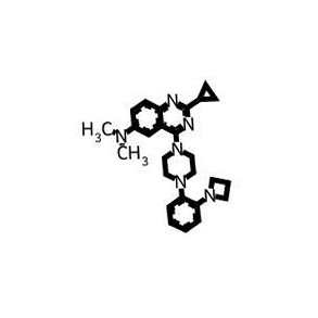 CN(C)c1ccc2nc(C3CC3)nc(N3CCN(c4ccccc4N4CCC4)CC3)c2c1